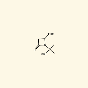 CCCC[Si](C)(C)N1C(=O)CC1C=O